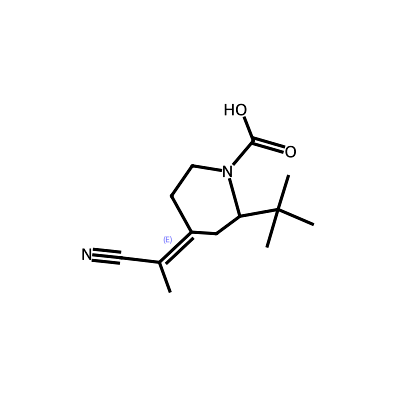 C/C(C#N)=C1/CCN(C(=O)O)C(C(C)(C)C)C1